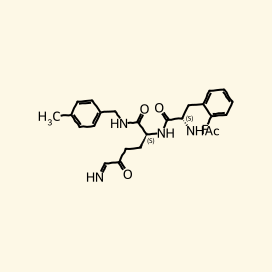 CC(=O)N[C@@H](Cc1ccccc1F)C(=O)N[C@@H](CCC(=O)C=N)C(=O)NCc1ccc(C)cc1